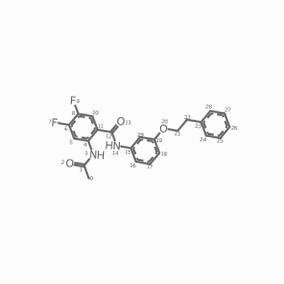 CC(=O)Nc1cc(F)c(F)cc1C(=O)Nc1cccc(OCCc2ccccc2)c1